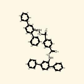 O=C(ONc1cc(-c2ccccc2)ccc1-c1ccccc1)c1ccc(C(=O)ONc2cc(-c3ccccc3)ccc2-c2ccccc2)cc1